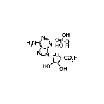 Nc1ncnc2c1ncn2[C@@H]1O[C@H](C(=O)O)[C@@H](O)[C@H]1O.O=P(O)(O)O